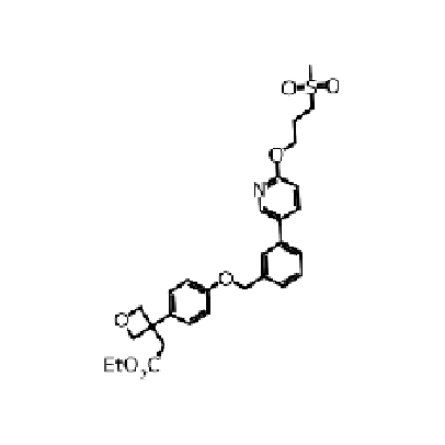 CCOC(=O)CC1(c2ccc(OCc3cccc(-c4ccc(OCCCS(C)(=O)=O)nc4)c3)cc2)COC1